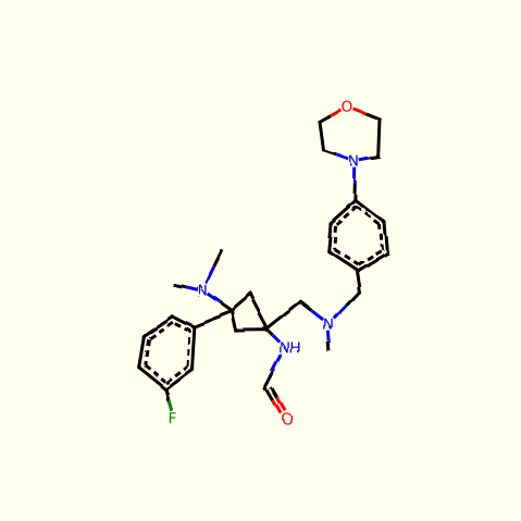 CN(Cc1ccc(N2CCOCC2)cc1)CC1(NC=O)CC(c2cccc(F)c2)(N(C)C)C1